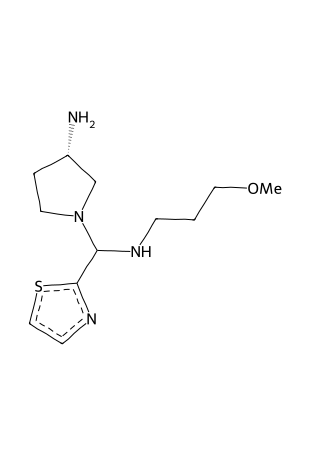 COCCCNC(c1nccs1)N1CC[C@H](N)C1